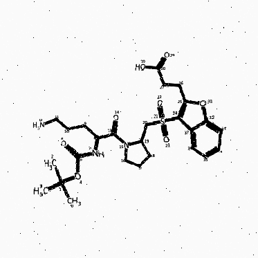 CC(C)(C)OC(=O)NC(CCCN)C(=O)N1CCCC1CS(=O)(=O)c1c(CCC(=O)O)oc2ccccc12